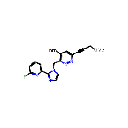 CCCc1cc(C#CCOC)nnc1Cn1ccnc1-c1cccc(F)n1